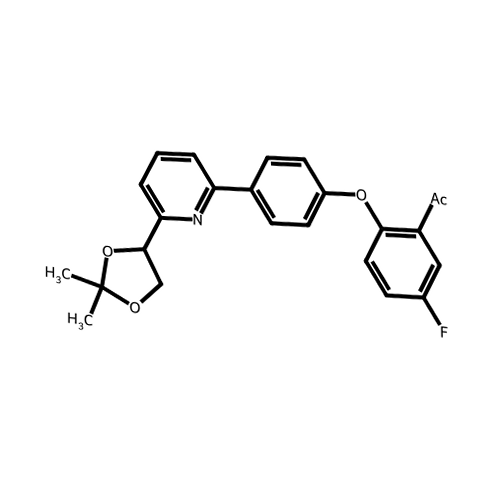 CC(=O)c1cc(F)ccc1Oc1ccc(-c2cccc(C3COC(C)(C)O3)n2)cc1